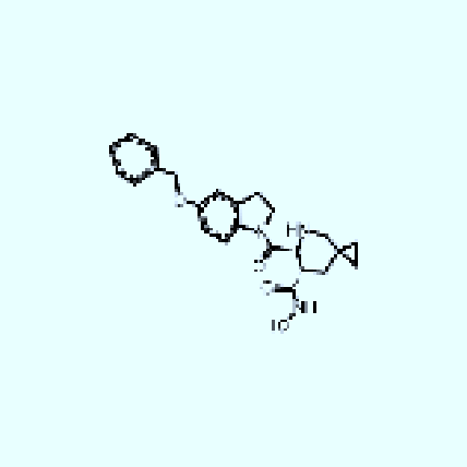 O=C(NO)[C@H]1CC2(CC2)CN[C@@H]1C(=O)N1CCc2cc(OCc3ccccc3)ccc21